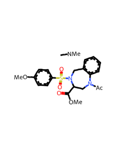 CNC.COC(=O)C1CN(C(C)=O)c2ccccc2CN1S(=O)(=O)c1ccc(OC)cc1